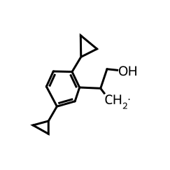 [CH2]C(CO)c1cc(C2CC2)ccc1C1CC1